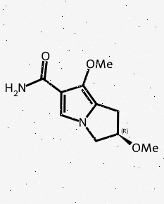 COc1c(C(N)=O)cn2c1C[C@@H](OC)C2